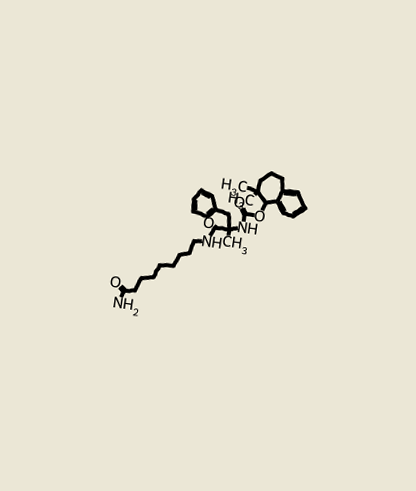 CC(Cc1ccccc1)(NC(=O)OC1c2ccccc2CCCC1(C)C)C(=O)NCCCCCCCCC(N)=O